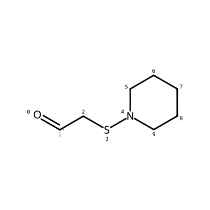 O=[C]CSN1CCCCC1